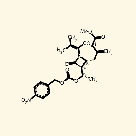 C=C(CC(=O)OC)C[C@@H]1[C@@H]([C@H](C)OC(=O)OCc2ccc([N+](=O)[O-])cc2)C(=O)N1C(C(=O)O)=C(C)C